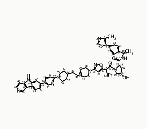 Cc1ncsc1-c1ccc([C@H](C)NC(=O)[C@@H]2C[C@@H](O)CN2C(=O)C(c2cc(N3CCN(CCC4CCN(c5ccc(-c6ccc7c(c6)[nH]c6ccncc67)cn5)CC4)CC3)no2)C(C)C)cc1